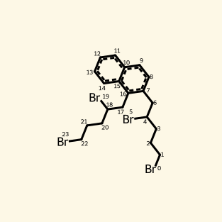 BrCCCC(Br)Cc1ccc2ccccc2c1CC(Br)CCCBr